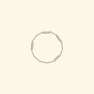 [C]1=CCC=CCCCC=CCC=C1